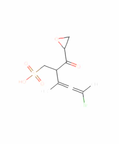 CC(Br)=C=C(C)C(CS(=O)(=O)O)C(=O)C1CO1